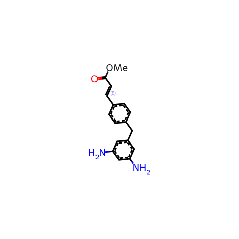 COC(=O)/C=C/c1ccc(Cc2cc(N)cc(N)c2)cc1